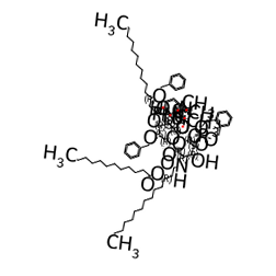 CCCCCCCCCCCC(=O)O[C@H](CCCCCCCCCCC)CC(=O)N[C@H]1[C@H](OC[C@H]2O[C@@H](O[Si](C)(C)C(C)(C)C)[C@H](N=[N+]=[N-])[C@@H](OC(=O)C[C@@H](CCCCCCCCCCC)OCc3ccccc3)[C@@H]2OCc2ccccc2)O[C@H](COCc2ccccc2)[C@@H](OP2(=O)OCc3ccccc3CO2)[C@@H]1O